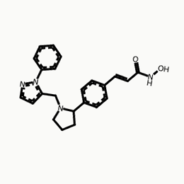 O=C(/C=C/c1ccc(C2CCCN2Cc2ccnn2-c2ccccc2)cc1)NO